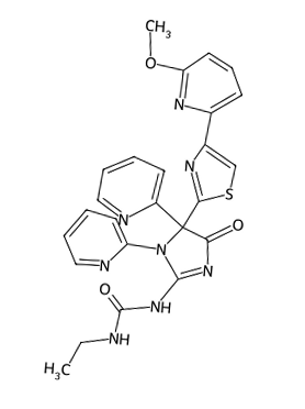 CCNC(=O)NC1=NC(=O)C(c2ccccn2)(c2nc(-c3cccc(OC)n3)cs2)N1c1ccccn1